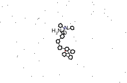 Nc1c(/C(=N\Cc2ccccc2)c2ccccc2)oc2ccc(-c3cccc(-c4cccc(-c5ccc6c(c5)C5(c7ccccc7-c7ccccc75)c5ccccc5-6)c4)c3)cc12